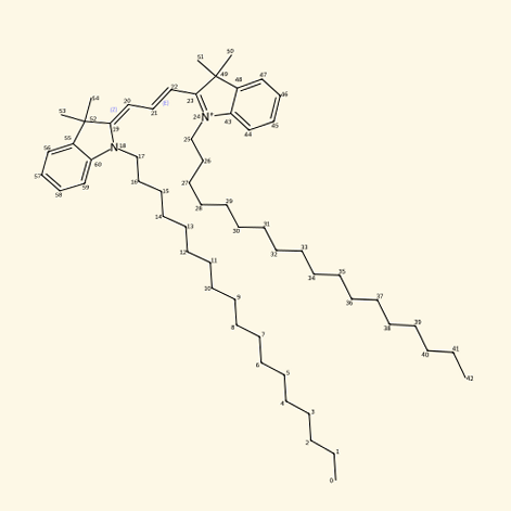 CCCCCCCCCCCCCCCCCCN1/C(=C\C=C\C2=[N+](CCCCCCCCCCCCCCCCCC)c3ccccc3C2(C)C)C(C)(C)c2ccccc21